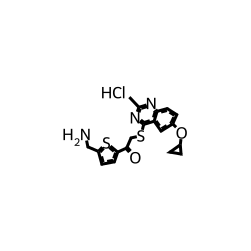 Cc1nc(SCC(=O)c2ccc(CN)s2)c2cc(OC3CC3)ccc2n1.Cl